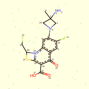 CC1(N)CN(c2cc3c(cc2F)c(=O)c(C(=O)O)c2n3C(CF)S2)C1